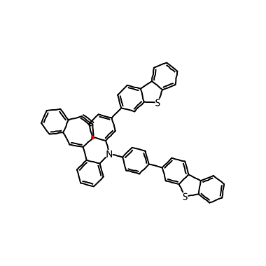 C1#Cc2ccccc2C=C(c2ccccc2N(C2=CC(c3ccc4c(c3)sc3ccccc34)=CCC2)c2ccc(-c3ccc4c(c3)sc3ccccc34)cc2)C1